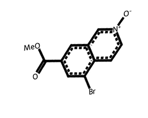 COC(=O)c1cc(Br)c2cc[n+]([O-])cc2c1